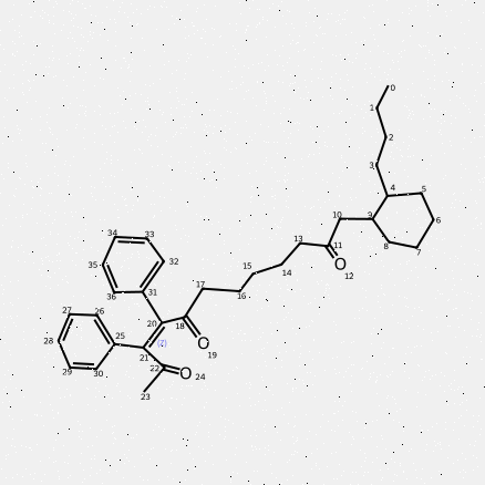 CCCCC1CCCCC1CC(=O)CCCCCC(=O)/C(=C(\C(C)=O)c1ccccc1)c1ccccc1